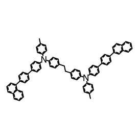 Cc1ccc(N(c2ccc(CCc3ccc(N(c4ccc(C)cc4)c4ccc(-c5ccc(-c6cccc7ccccc67)cc5)cc4)cc3)cc2)c2ccc(-c3ccc(-c4ccc5ccccc5c4)cc3)cc2)cc1